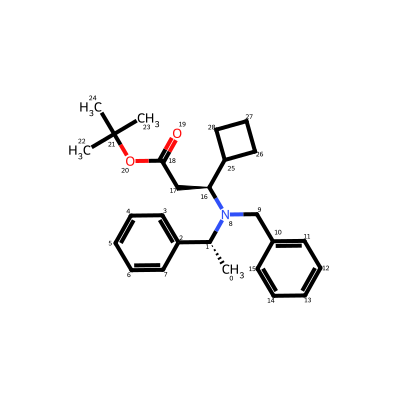 C[C@H](c1ccccc1)N(Cc1ccccc1)[C@@H](CC(=O)OC(C)(C)C)C1CCC1